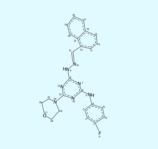 Fc1ccc(Nc2nc(NN=Cc3cccc4ccccc34)nc(N3CCOCC3)n2)cc1